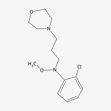 CON(CCCN1CCOCC1)c1ccccc1Cl